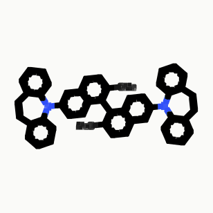 COc1ccc2cc(N3c4ccccc4C=Cc4ccccc43)ccc2c1-c1c(OC)ccc2cc(N3c4ccccc4C=Cc4ccccc43)ccc12